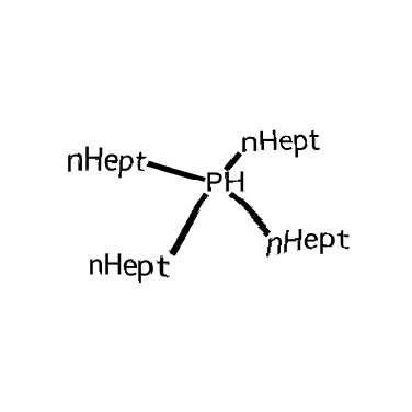 CCCCCCC[PH](CCCCCCC)(CCCCCCC)CCCCCCC